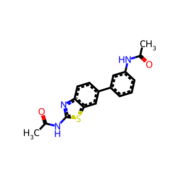 CC(=O)Nc1cccc(-c2ccc3nc(NC(C)=O)sc3c2)c1